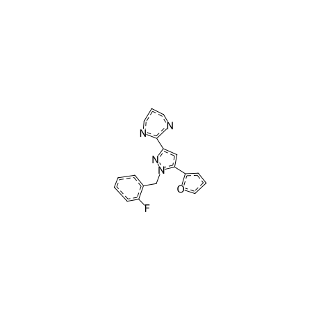 Fc1ccccc1Cn1nc(-c2ncccn2)cc1-c1ccco1